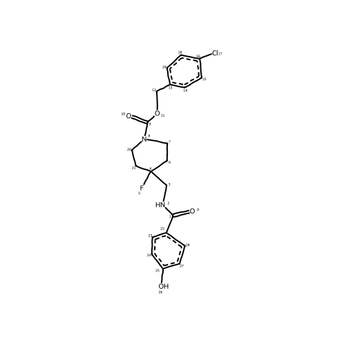 O=C(NCC1(F)CCN(C(=O)OCc2ccc(Cl)cc2)CC1)c1ccc(O)cc1